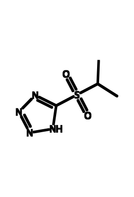 CC(C)S(=O)(=O)c1nnn[nH]1